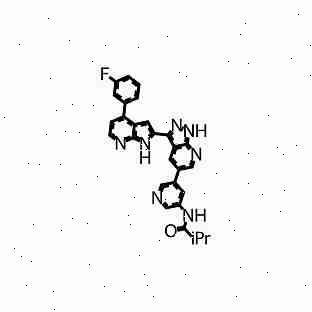 CC(C)C(=O)Nc1cncc(-c2cnc3[nH]nc(-c4cc5c(-c6cccc(F)c6)ccnc5[nH]4)c3c2)c1